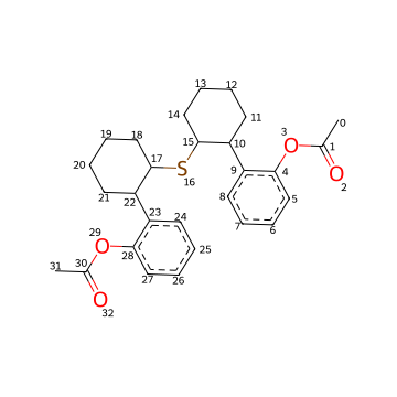 CC(=O)Oc1ccccc1C1CCCCC1SC1CCCCC1c1ccccc1OC(C)=O